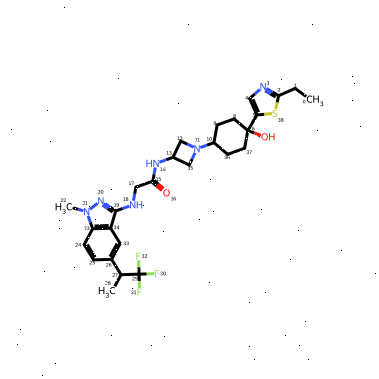 CCc1ncc(C2(O)CCC(N3CC(NC(=O)CNc4nn(C)c5ccc(C(C)C(F)(F)F)cc45)C3)CC2)s1